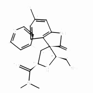 CN(C)C(=O)[C@@H]1N[C@H](CC(C)(C)C)[C@]2(C(=O)Nc3cc(Cl)ccc32)[C@H]1c1ccncc1